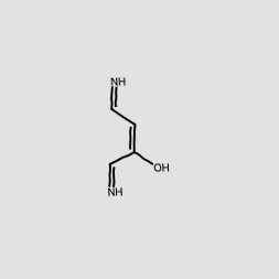 N=C/C=C(/O)C=N